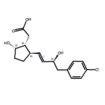 O=C(O)C[C@H]1[C@@H](O)CC[C@@H]1/C=C/[C@@H](O)Cc1ccc(Cl)cc1